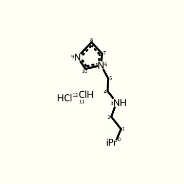 CC(C)CCNCCn1ccnc1.Cl.Cl